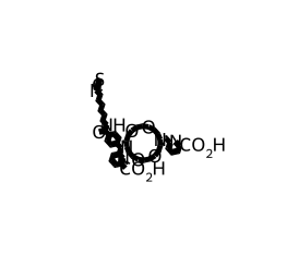 O=C(NCCCCCCN=C=S)c1ccc(C(c2cccc(C(=O)O)n2)N2CCOCCOCCN(Cc3cccc(C(=O)O)n3)CCOCCOCC2)cc1